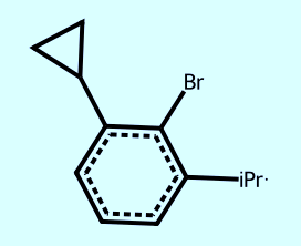 C[C](C)c1cccc(C2CC2)c1Br